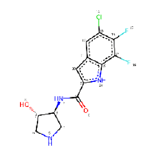 O=C(N[C@H]1CNC[C@@H]1O)c1cc2cc(Cl)c(F)c(F)c2[nH]1